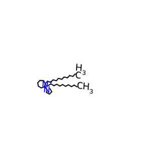 CCCCCCCCCCCC[N+]1(CCCCCCCCCCCC)CCCCCC1N1CCCC1